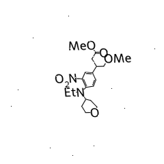 CCN(c1ccc(C(COC)CC(=O)OC)cc1[N+](=O)[O-])C1CCOCC1